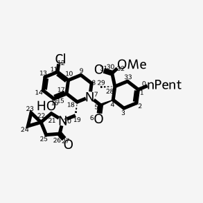 CCCCCC1=CC[C@@H](C(=O)N2CCc3c(Cl)ccc(O)c3[C@H]2CN2CC3(CC3)CC2=O)[C@@](C)(C(=O)OC)C1